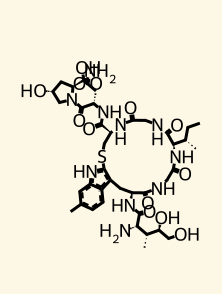 CC[C@H](C)[C@@H]1NC(=O)CNC(=O)[C@@H](NC(=O)[C@@H](N)[C@@H](C)[C@@H](O)CO)Cc2c([nH]c3cc(C)ccc23)SC[C@@H](C(=O)N[C@@H](CC(N)=O)C(=O)N2C[C@H](O)C[C@H]2C(=O)O)NC(=O)CNC1=O